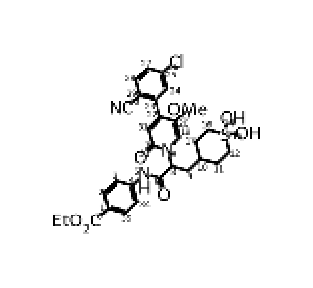 CCOC(=O)c1ccc(NC(=O)C(CC2CCS(O)(O)CC2)n2cc(OC)c(-c3cc(Cl)ccc3C#N)cc2=O)cc1